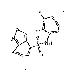 O=S(=O)(Nc1cccc(F)c1F)c1cccc2nonc12